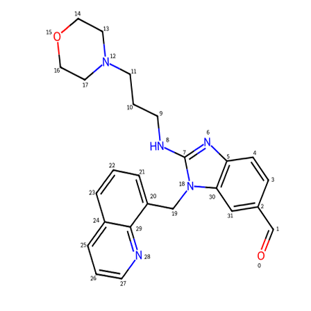 O=Cc1ccc2nc(NCCCN3CCOCC3)n(Cc3cccc4cccnc34)c2c1